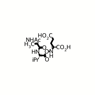 CC(=O)N[C@@H](C)C(=O)N[C@H](C(=O)ON[C@@H](CCC(=O)O)C(=O)O)C(C)C